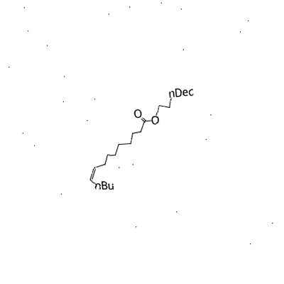 CCCC/C=C\CCCCCCCC(=O)OCCCCCCCCCCCC